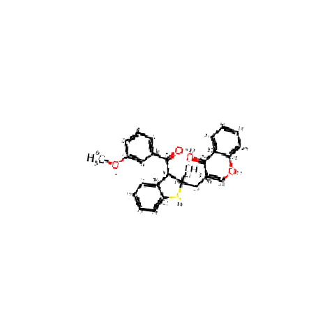 COc1cccc(C(=O)C2c3ccccc3SC2(C)Cc2coc3ccccc3c2=O)c1